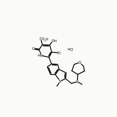 CCc1c(-c2ccc3c(c2)cc(CN(C)C2CCOCC2)n3C)[nH]c(=O)c(C(=O)O)c1O.Cl